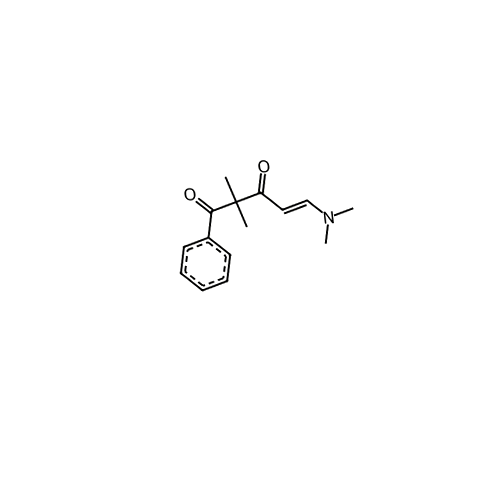 CN(C)/C=C/C(=O)C(C)(C)C(=O)c1ccccc1